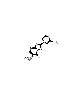 CC1CN(c2nn3c(=O)c(C(=O)O)cnc3s2)CCO1